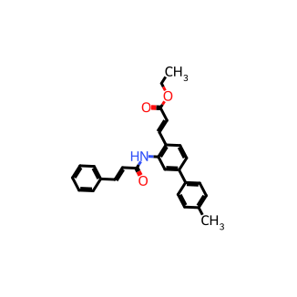 CCOC(=O)C=Cc1ccc(-c2ccc(C)cc2)cc1NC(=O)C=Cc1ccccc1